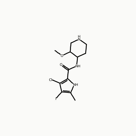 COC1CNCCC1NC(=O)c1[nH]c(C)c(I)c1Cl